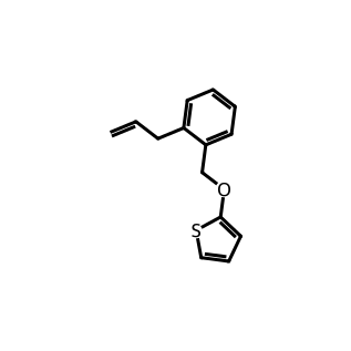 C=CCc1ccccc1COc1cccs1